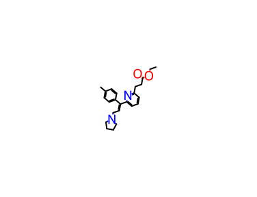 CCOC(=O)CCc1cccc(/C(=C/CN2CCCC2)c2ccc(C)cc2)n1